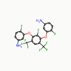 Nc1ccc(F)c(Oc2c(C(F)(F)F)cc(C(F)(F)F)c(Oc3cc(N)ccc3F)c2F)c1